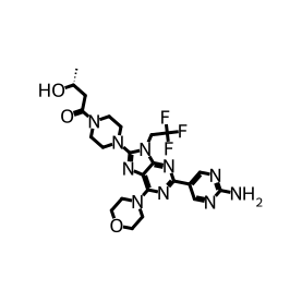 C[C@@H](O)CC(=O)N1CCN(c2nc3c(N4CCOCC4)nc(-c4cnc(N)nc4)nc3n2CC(F)(F)F)CC1